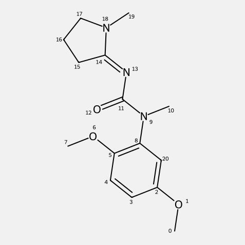 COc1ccc(OC)c(N(C)C(=O)N=C2CCCN2C)c1